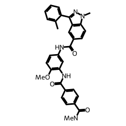 CNC(=O)c1ccc(C(=O)Nc2cc(NC(=O)c3ccc4c(c3)c(-c3ccccc3C)nn4C)ccc2OC)cc1